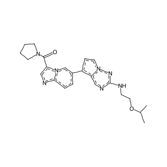 CC(C)OCCNc1ncc2c(-c3ccc4ncc(C(=O)N5CCCC5)n4c3)ccn2n1